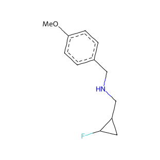 COc1ccc(CNCC2CC2F)cc1